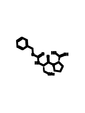 B=C(O)[C@@H]1CCCN1C(=O)[C@H](COC(C)=O)NC(=O)OCc1ccccc1